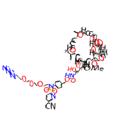 C=C1C[C@@H]2CC[C@@]34CC5O[C@@H]6C(O[C@H]7CCC(CC(=O)C[C@@H]8[C@@H](OC)[C@@H](C[C@H](O)CNC(=O)OCc9ccc(N(CCOCCOCCOCCN=[N+]=[N-])S(=O)(=O)c%10ccc(C#N)cn%10)cc9)O[C@H]8CC8O[C@@H](CCC1O2)C[C@@H](C)C8=C)O[C@@H]7[C@@H]6O3)[C@@H]5O4